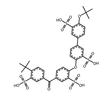 CC(C)(C)Oc1ccc(-c2ccc(Oc3ccc(C(=O)c4ccc(C(C)(C)C)c(S(=O)(=O)O)c4)cc3S(=O)(=O)O)c(S(=O)(=O)O)c2)cc1S(=O)(=O)O